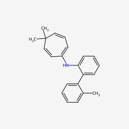 Cc1ccccc1-c1ccccc1NC1=CC=CC(C)(C)C=C1